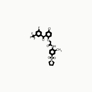 Cc1cc(S(=O)(=O)N2CCCC2)ccc1NC(=O)COc1ccc(Cl)cc1C(=O)c1cc(F)cc(C(F)(F)F)c1